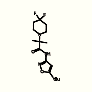 CC(C)(C)c1cc(NC(=O)C(C)(C)N2CCC(F)(F)CC2)no1